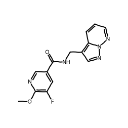 COc1ncc(C(=O)NCc2cnn3ncccc23)cc1F